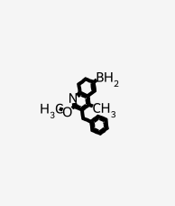 BC1=Cc2c(nc(OC)c(Cc3ccccc3)c2C)CC1